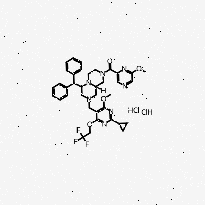 COc1cncc(C(=O)N2CCN3C(C(c4ccccc4)c4ccccc4)CN(Cc4c(OC)nc(C5CC5)nc4OCC(F)(F)F)C[C@H]3C2)n1.Cl.Cl